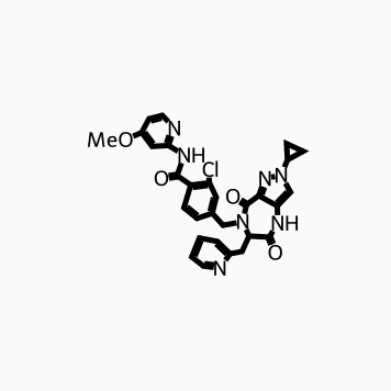 COc1ccnc(NC(=O)c2ccc(CN3C(=O)c4nn(C5CC5)cc4NC(=O)C3Cc3ccccn3)cc2Cl)c1